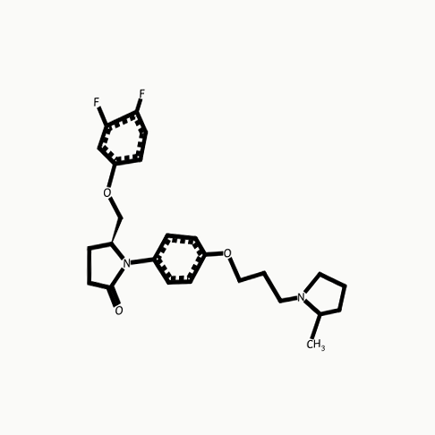 CC1CCCN1CCCOc1ccc(N2C(=O)CC[C@H]2COc2ccc(F)c(F)c2)cc1